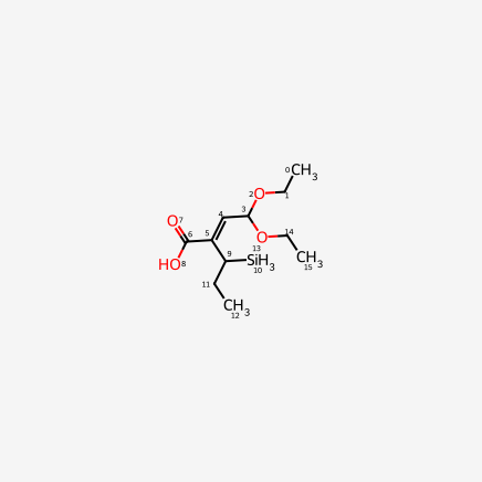 CCOC(C=C(C(=O)O)C([SiH3])CC)OCC